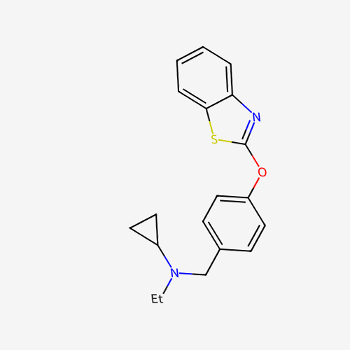 [CH2]CN(Cc1ccc(Oc2nc3ccccc3s2)cc1)C1CC1